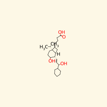 CC(C)[C@@]12CC[C@H](O)[C@@H](/C=C/C(O)C3CCCCC3)[C@@H]1CC2=CCCC(=O)O